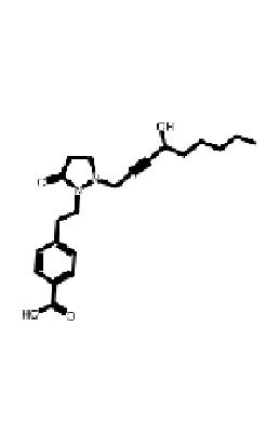 CCCCCC(O)C#CCN1CCC(=O)N1CCc1ccc(C(=O)O)cc1